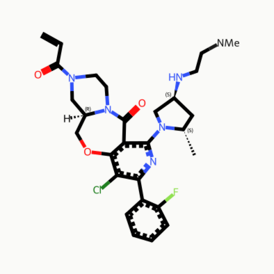 C=CC(=O)N1CCN2C(=O)c3c(N4C[C@@H](NCCNC)C[C@@H]4C)nc(-c4ccccc4F)c(Cl)c3OC[C@H]2C1